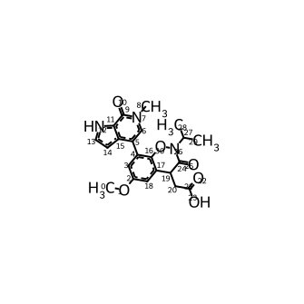 COc1cc(-c2cn(C)c(=O)c3[nH]ccc23)c2c(c1)C(CC(=O)O)C(=O)N(C(C)C)O2